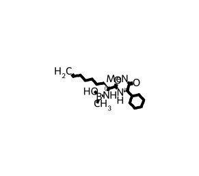 C=CCCCCC[C@H](NB(C)O)C(=O)N[C@H](C(=O)NC)C1CCCCC1